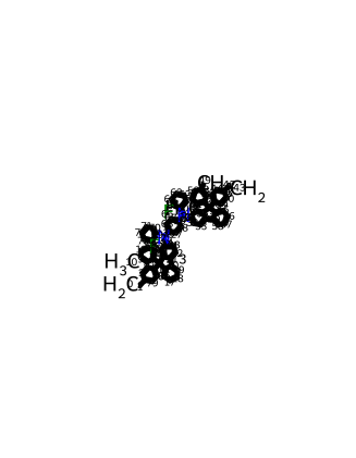 C=Cc1ccc(C2(c3cc(C)ccc3C)c3ccccc3-c3ccc(N(c4ccc(N(c5ccc6c(c5)C(c5ccc(C=C)cc5)(c5cc(C)ccc5C)c5ccccc5-6)c5ccccc5F)cc4)c4ccccc4F)cc32)cc1